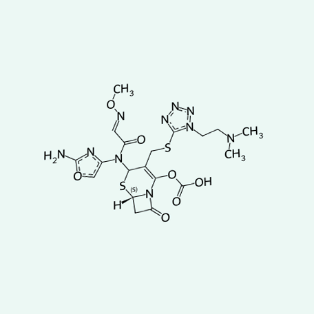 CON=CC(=O)N(c1coc(N)n1)C1S[C@H]2CC(=O)N2C(OC(=O)O)=C1CSc1nnnn1CCN(C)C